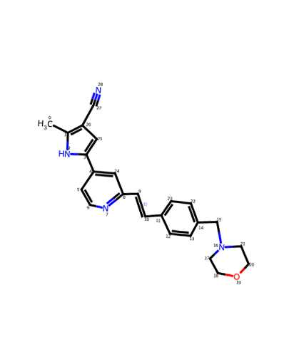 Cc1[nH]c(-c2ccnc(/C=C/c3ccc(CN4CCOCC4)cc3)c2)cc1C#N